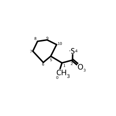 CC(C(=O)[S])C1CCCCC1